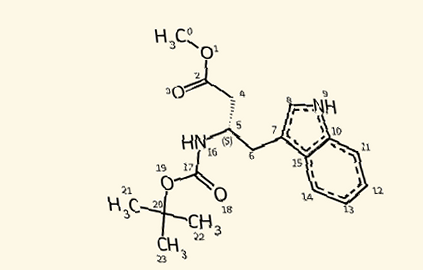 COC(=O)C[C@H](Cc1c[nH]c2ccccc12)NC(=O)OC(C)(C)C